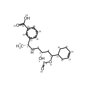 C[C@@H](NC[C@@H](O)CC(OP=O)C1CC=CCC1)c1cccc(C(=O)O)c1